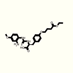 CCOC(=O)CCCOc1ccc(C[C@H](NC(=S)Nc2ccc(OC)cc2N)C(=O)O)cc1